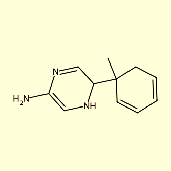 CC1(C2C=NC(N)=CN2)C=CC=CC1